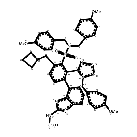 COc1ccc(CN(Cc2ccc(OC)cc2)S(=O)(=O)c2c(CC3CCC3)ccc(-c3cccc4sc(NC(=O)O)nc34)c2-c2nnnn2Cc2ccc(OC)cc2)cc1